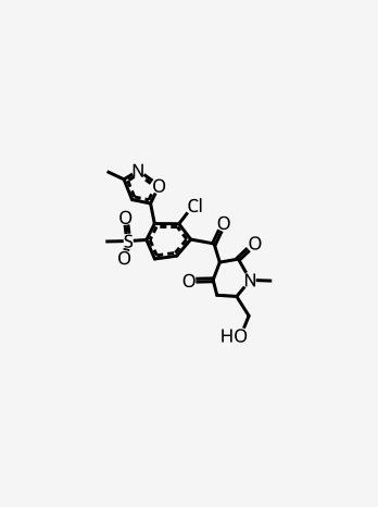 Cc1cc(-c2c(S(C)(=O)=O)ccc(C(=O)C3C(=O)CC(CO)N(C)C3=O)c2Cl)on1